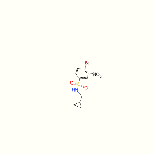 O=[N+]([O-])c1cc(S(=O)(=O)NCC2CC2)ccc1Br